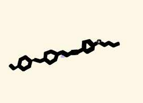 CCCCOc1ccc(C#C/C=C/C2CCC(CC[C@H]3CC[C@H](CC)CC3)CC2)cc1